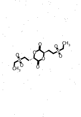 CCS(=O)(=O)CC[C@@H]1OC(=O)[C@@H](CCS(=O)(=O)CC)OC1=O